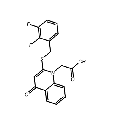 O=C(O)Cn1c(SCc2cccc(F)c2F)cc(=O)c2ccccc21